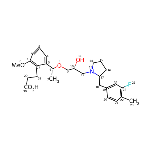 COc1cccc([C@@H](C)OC[C@H](O)CN2CCC[C@H]2Cc2ccc(C)c(F)c2)c1CCC(=O)O